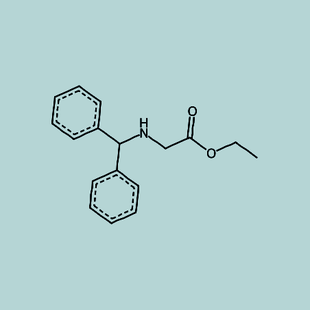 CCOC(=O)CNC(c1ccccc1)c1ccccc1